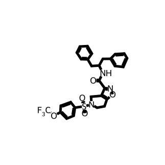 O=C(NC(Cc1ccccc1)Cc1ccccc1)c1noc2c1CN(S(=O)(=O)c1ccc(OC(F)(F)F)cc1)CC2